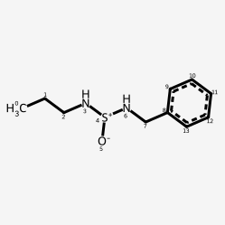 CCCN[S+]([O-])NCc1ccccc1